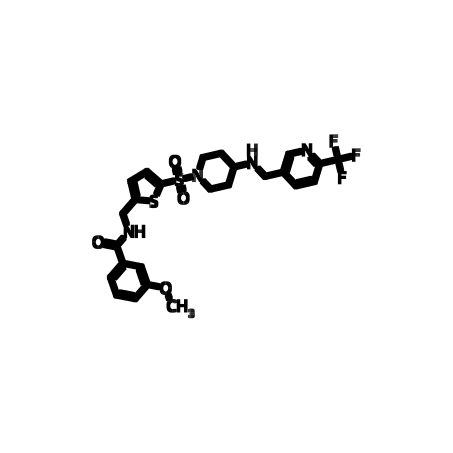 COc1cccc(C(=O)NCc2ccc(S(=O)(=O)N3CCC(NCc4ccc(C(F)(F)F)nc4)CC3)s2)c1